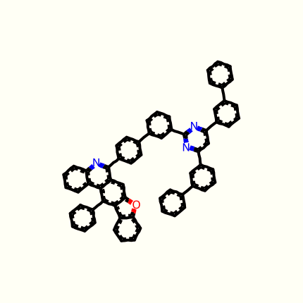 c1ccc(-c2cccc(-c3cc(-c4cccc(-c5ccccc5)c4)nc(-c4cccc(-c5ccc(-c6nc7ccccc7c7c(-c8ccccc8)c8c(cc67)oc6ccccc68)cc5)c4)n3)c2)cc1